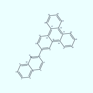 [c]1c(-c2ccc3ccccc3n2)ccc2c1c1ccccc1c1ccccc21